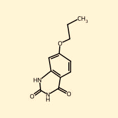 CCCOc1ccc2c(=O)[nH]c(=O)[nH]c2c1